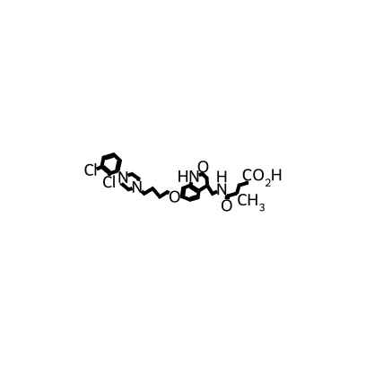 CC(CCC(=O)O)C(=O)NCC1CC(=O)Nc2cc(OCCCCN3CCN(c4cccc(Cl)c4Cl)CC3)ccc21